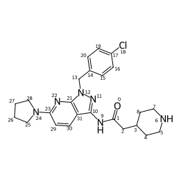 O=C(CC1CCNCC1)Nc1nn(Cc2ccc(Cl)cc2)c2nc(N3CCCC3)ccc12